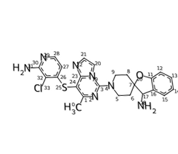 Cc1nc(N2CCC3(CC2)Oc2ccccc2C3N)n2ccnc2c1Sc1ccnc(N)c1Cl